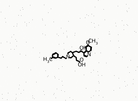 COc1ccc2nccc([C@@H](O)CCC3CCN(CCCc4cccc(C)c4)CC3CCC(=O)O)c2c1